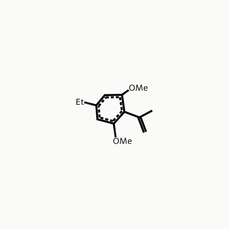 C=C(C)c1c(OC)cc(CC)cc1OC